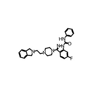 O=C(Nc1ccccc1)n1nc(N2CCN(CCN3Cc4ccccc4C3)CC2)c2ccc(F)cc21